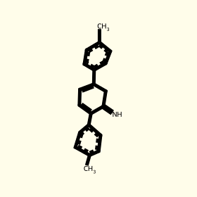 Cc1ccc(C2=CC=C(c3ccc(C)cc3)C(=N)C2)cc1